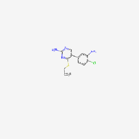 Nc1ncc(-c2ccc(Cl)c(N)c2)c(SCC(=O)O)n1